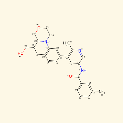 Cc1ncc(NC(=O)c2cccc(C(F)(F)F)c2)cc1-c1ccc2c(c1)N1CCOCC1C(CO)C2